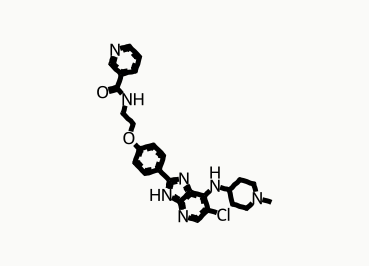 CN1CCC(Nc2c(Cl)cnc3[nH]c(-c4ccc(OCCNC(=O)c5cccnc5)cc4)nc23)CC1